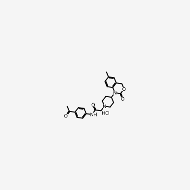 CC(=O)c1ccc(NC(=O)CN2CCC(N3C(=O)OCc4cc(C)ccc43)CC2)cc1.Cl